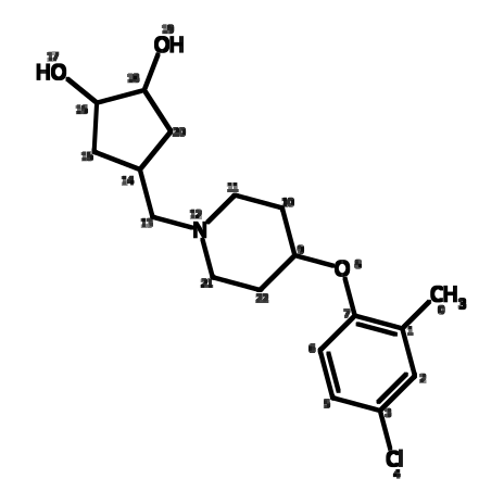 Cc1cc(Cl)ccc1OC1CCN(CC2CC(O)C(O)C2)CC1